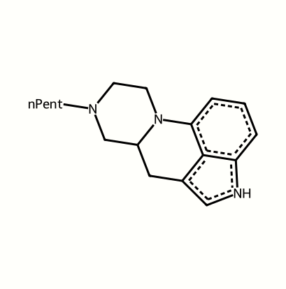 CCCCCN1CCN2c3cccc4[nH]cc(c34)CC2C1